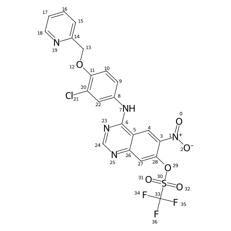 O=[N+]([O-])c1cc2c(Nc3ccc(OCc4ccccn4)c(Cl)c3)ncnc2cc1OS(=O)(=O)C(F)(F)F